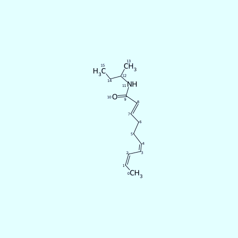 C/C=C\C=C/CC/C=C/C(=O)NC(C)CC